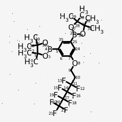 CC1(C)OB(c2cc(OCCC(F)(F)C(F)(F)C(F)(F)C(F)(F)F)cc(B3OC(C)(C)C(C)(C)O3)c2)OC1(C)C